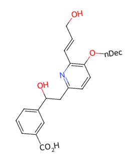 CCCCCCCCCCOc1ccc(CC(O)c2cccc(C(=O)O)c2)nc1/C=C/CO